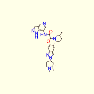 C[C@H]1CC[C@H](c2ccc3nn([C@@H]4CCN(C)C(C)(C)C4)cc3c2)N(C(=O)C(=O)Nc2cncc3cn[nH]c23)C1